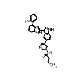 CCCC(=O)Nc1cncc(-c2ccc3[nH]nc(-c4cc5c(-c6ccccc6F)cccc5[nH]4)c3c2)c1